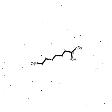 CCCCC(O)CCCCCC[N+](=O)[O-]